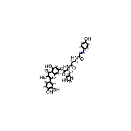 O=C(/C=C/c1ccc(O)cc1)NCCC(=O)N[C@H](Cc1c[nH]cn1)C(=O)Oc1cc(O)c2c(=O)c(O)c(-c3ccc(O)c(O)c3)oc2c1